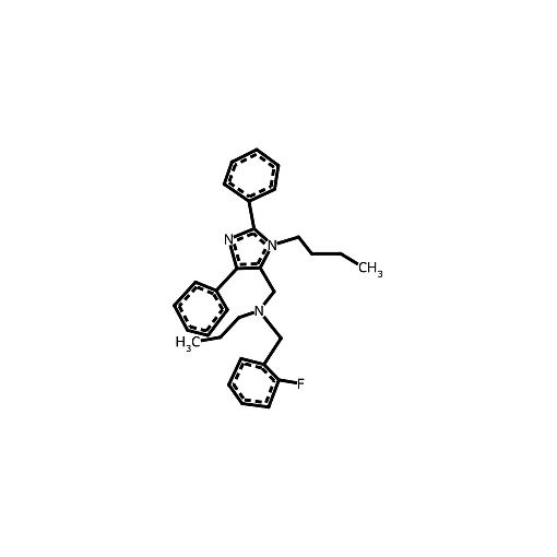 CCCCn1c(-c2ccccc2)nc(-c2ccccc2)c1CN(CCC)Cc1ccccc1F